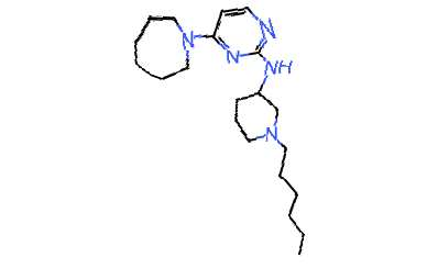 CCCCCCN1CCCC(Nc2nccc(N3CCCCCC3)n2)C1